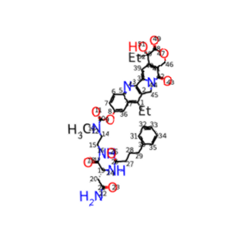 CCc1c2c(nc3ccc(OC(=O)N(C)CCNC(=O)[C@@H](CC(N)=O)NC(=O)CCCc4ccccc4)cc13)-c1cc3c(c(=O)n1C2)COC(=O)[C@]3(O)CC